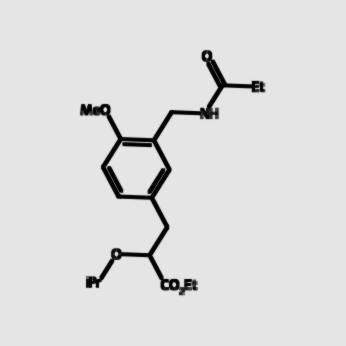 CCOC(=O)C(Cc1ccc(OC)c(CNC(=O)CC)c1)OC(C)C